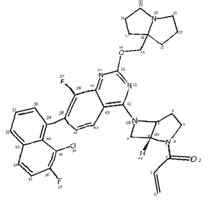 C=CC(=O)N1CCC2[C@H]1CN2c1nc(OCC23CCCN2CCC3)nc2c(F)c(-c3cccc4ccc(F)c(Cl)c34)ccc12